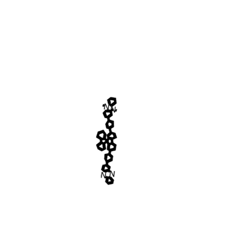 CN1c2ccccc2N(C)c2cc(-c3ccc(-c4ccc5c(c4)C4(c6ccccc6-c6ccccc64)c4cc(-c6ccc(-c7ccc8c(c7)N(C)c7ccccc7N8C)cc6)ccc4-5)cc3)ccc21